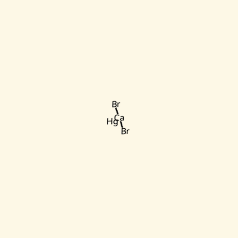 [Br][Ca][Br].[Hg]